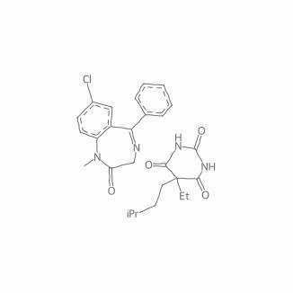 CCC1(CCC(C)C)C(=O)NC(=O)NC1=O.CN1C(=O)CN=C(c2ccccc2)c2cc(Cl)ccc21